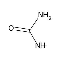 [NH]C(N)=O